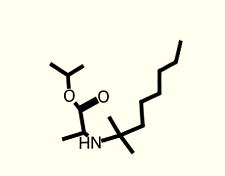 CCCCCCC(C)(C)NC(C)C(=O)OC(C)C